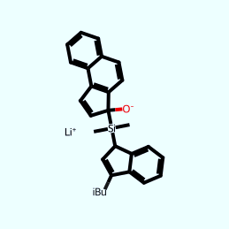 CCC(C)C1=CC([Si](C)(C)C2([O-])C=Cc3c2ccc2ccccc32)c2ccccc21.[Li+]